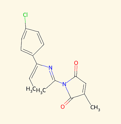 C/C=C(\N=C(/C)N1C(=O)C=C(C)C1=O)c1ccc(Cl)cc1